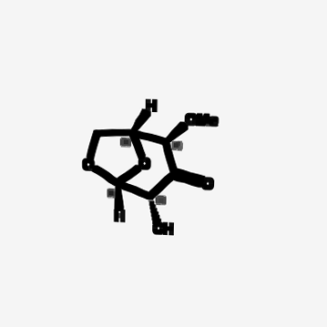 CO[C@H]1C(=O)[C@H](O)[C@@H]2OC[C@H]1O2